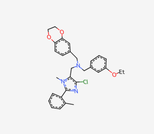 CCOc1cccc(CN(Cc2ccc3c(c2)OCCO3)Cc2c(Cl)nc(-c3ccccc3C)n2C)c1